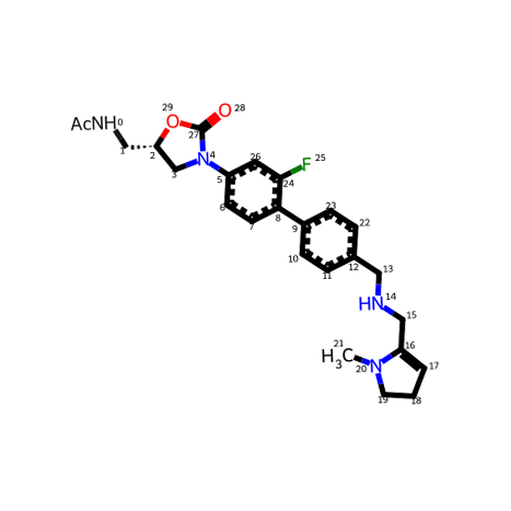 CC(=O)NC[C@H]1CN(c2ccc(-c3ccc(CNCC4=CCCN4C)cc3)c(F)c2)C(=O)O1